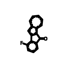 O=C1c2cccc(F)c2-c2cc3cccccc-3c21